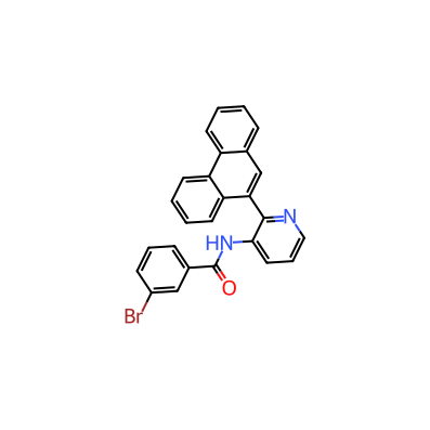 O=C(Nc1cccnc1-c1cc2ccccc2c2ccccc12)c1cccc(Br)c1